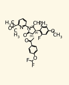 COc1cc(F)c([C@H]2[C@H](CC(=O)c3ccc(OC(F)F)cc3)C(=O)N(c3cccc(P(C)(C)=O)n3)[C@H]2C)c(P)c1